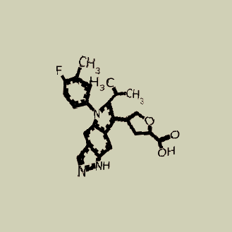 Cc1cc(-n2c(C(C)C)c(C3COC(C(=O)O)C3)c3cc4[nH]ncc4cc32)ccc1F